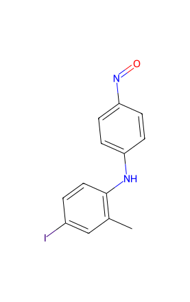 Cc1cc(I)ccc1Nc1ccc(N=O)cc1